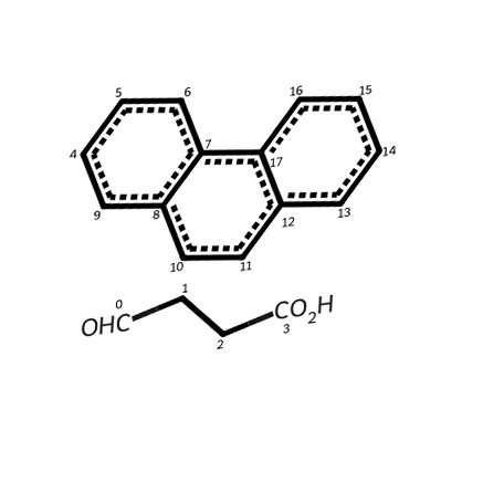 O=CCCC(=O)O.c1ccc2c(c1)ccc1ccccc12